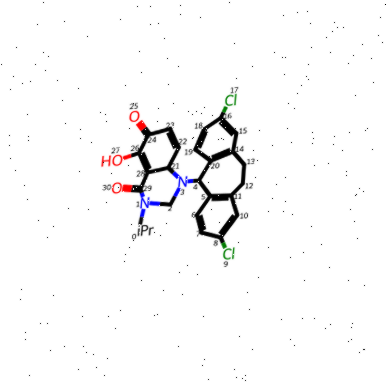 CC(C)N1CN(C2c3ccc(Cl)cc3CCc3cc(Cl)ccc32)C2C=CC(=O)C(O)=C2C1=O